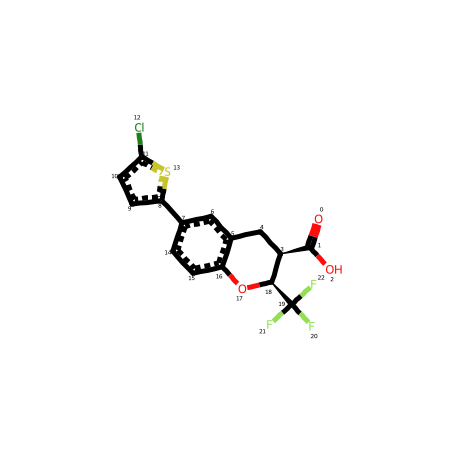 O=C(O)[C@@H]1Cc2cc(-c3ccc(Cl)s3)ccc2O[C@@H]1C(F)(F)F